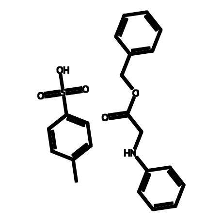 Cc1ccc(S(=O)(=O)O)cc1.O=C(CNc1ccccc1)OCc1ccccc1